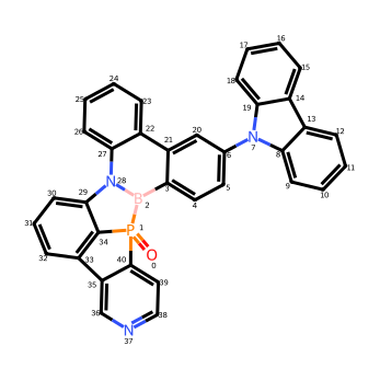 O=P12B3c4ccc(-n5c6ccccc6c6ccccc65)cc4-c4ccccc4N3c3cccc(c31)-c1cnccc12